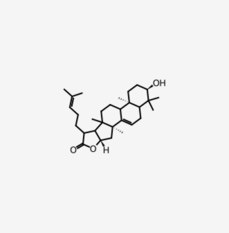 CC(C)=CCCC1C(=O)O[C@H]2C[C@]3(C)C4=CCC5C(C)(C)[C@H](O)CC[C@]5(C)C4CCC3(C)C12